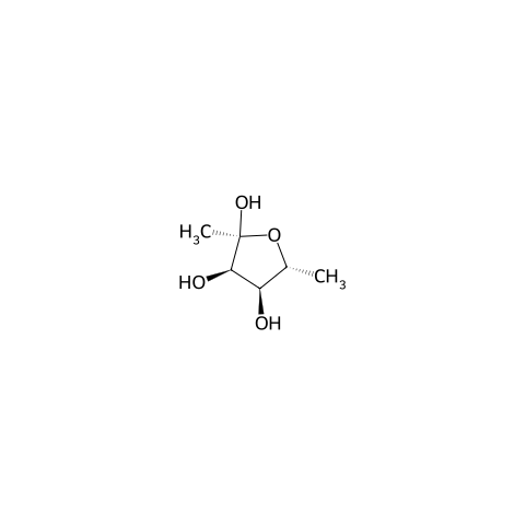 C[C@H]1O[C@](C)(O)[C@H](O)[C@@H]1O